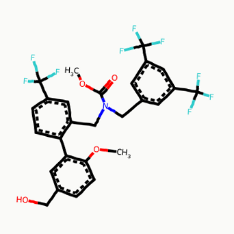 COC(=O)N(Cc1cc(C(F)(F)F)cc(C(F)(F)F)c1)Cc1cc(C(F)(F)F)ccc1-c1cc(CO)ccc1OC